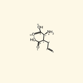 C=CCC(C(=O)O)[C@H](N)C(=O)O